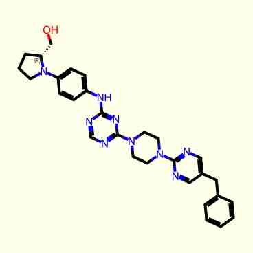 OC[C@H]1CCCN1c1ccc(Nc2ncnc(N3CCN(c4ncc(Cc5ccccc5)cn4)CC3)n2)cc1